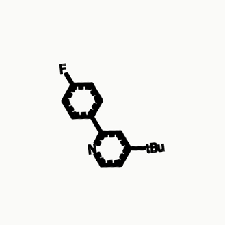 CC(C)(C)c1ccnc(-c2ccc(F)cc2)c1